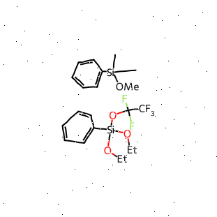 CCO[Si](OCC)(OC(F)(F)C(F)(F)F)c1ccccc1.CO[Si](C)(C)c1ccccc1